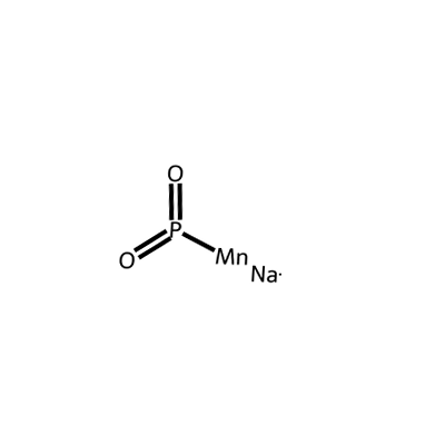 O=[P](=O)[Mn].[Na]